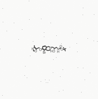 Cc1ncoc1COc1ccc2c(c1Br)CCN(C[C@@H](O)CNC(=O)OC(C)(C)C)C2